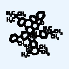 Cc1ccccc1-c1cc(-c2cc3c(cc2Nc2ccc(C(C)(C)C)cc2)C(C)(C)CCC3(C)C)c2c(c1)N(c1ccc(C(C)(C)C)cc1-c1ccccc1)c1cc3c(cc1B2)oc1ccccc13